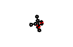 Cl[Si](c1ccc(-c2ccccc2)cc1-c1ccccc1)(c1ccc(-c2ccccc2)cc1-c1ccccc1)c1ccc(-c2ccccc2)cc1-c1ccccc1